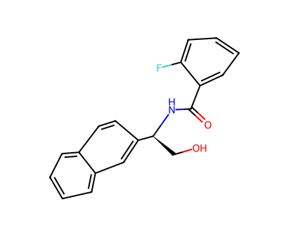 O=C(N[C@@H](CO)c1ccc2ccccc2c1)c1ccccc1F